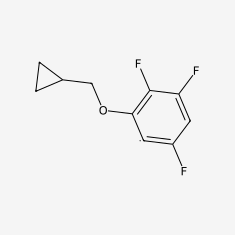 Fc1[c]c(OCC2CC2)c(F)c(F)c1